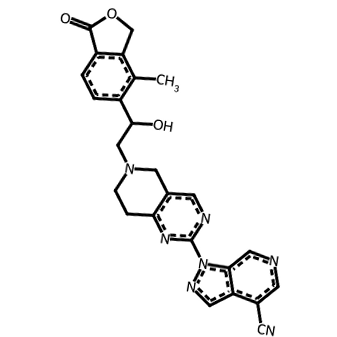 Cc1c(C(O)CN2CCc3nc(-n4ncc5c(C#N)cncc54)ncc3C2)ccc2c1COC2=O